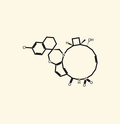 C[C@]12CC[C@H]1CN1C[C@@]3(CCCc4cc(Cl)ccc43)COc3ccc(cc31)C(=O)NS(=O)(=O)CC/C=C\C[C@H]2O